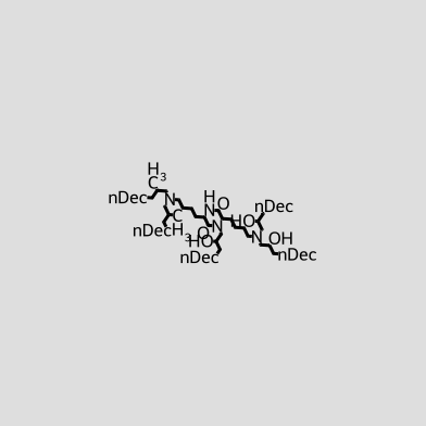 CCCCCCCCCCCC(C)CN(CCCCC1NC(=O)C(CCCCN(CC(O)CCCCCCCCCCC)CC(O)CCCCCCCCCCC)N(CC(O)CCCCCCCCCCC)C1=O)CC(C)CCCCCCCCCCC